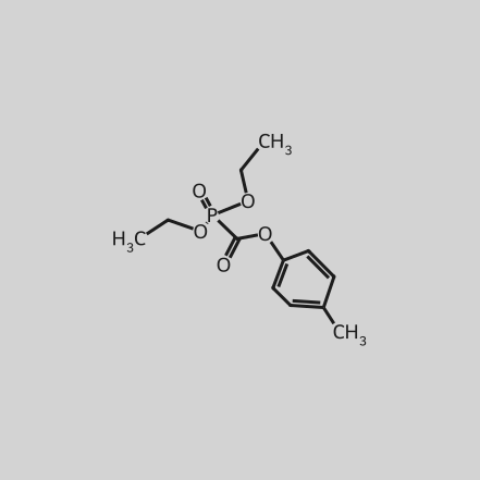 CCOP(=O)(OCC)C(=O)Oc1ccc(C)cc1